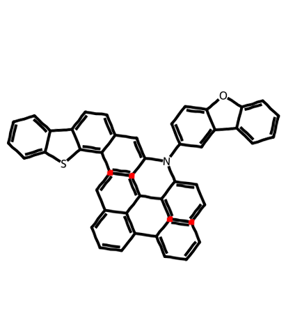 c1ccc(-c2cccc3cccc(-c4ccccc4N(c4ccc5c(ccc6c7ccccc7sc56)c4)c4ccc5oc6ccccc6c5c4)c23)cc1